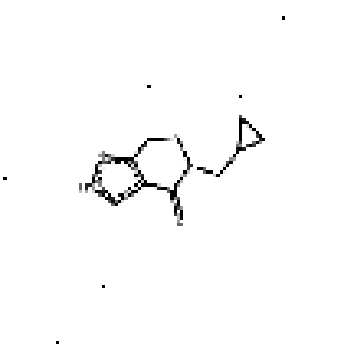 O=C1c2c[nH]nc2CCN1CC1CC1